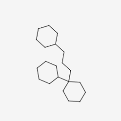 C1CCC(CCCC2(C3CCCCC3)CCCCC2)CC1